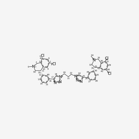 CN1Cc2c(Cl)cc(Cl)cc2[C@H](c2cccc(-c3cn(CCCn4cc(-c5cccc([C@@H]6CN(C)Cc7c(Cl)cc(Cl)cc76)c5)nn4)nn3)c2)C1